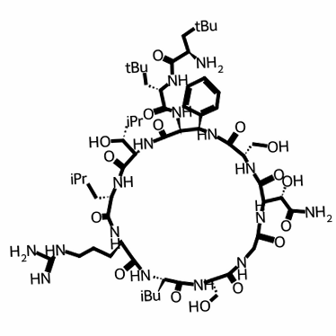 CC[C@H](C)[C@@H]1NC(=O)[C@@H](CCCNC(=N)N)NC(=O)[C@H](CC(C)C)NC(=O)[C@H]([C@H](O)C(C)C)NC(=O)[C@@H](NC(=O)[C@H](CC(C)(C)C)NC(=O)[C@H](N)CC(C)(C)C)[C@@H](c2ccccc2)NC(=O)[C@H](CO)NC(=O)C([C@H](O)C(N)=O)NC(=O)CNC(=O)[C@H](CO)NC1=O